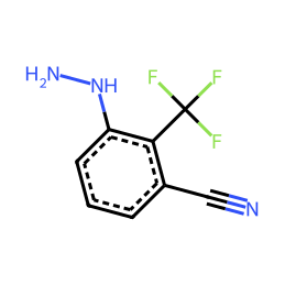 N#Cc1cccc(NN)c1C(F)(F)F